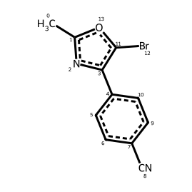 Cc1nc(-c2ccc(C#N)cc2)c(Br)o1